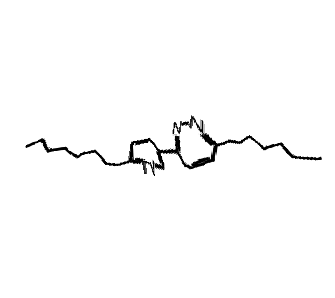 CCCCCCCc1ccc(-c2ccc(CCCCCCC)nn2)cn1